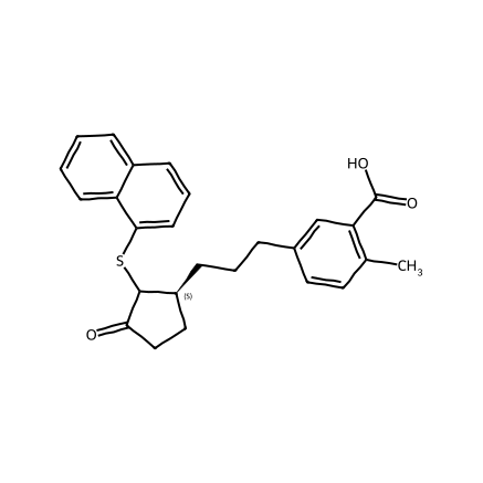 Cc1ccc(CCC[C@H]2CCC(=O)C2Sc2cccc3ccccc23)cc1C(=O)O